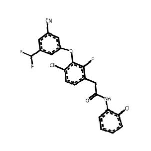 N#Cc1cc(Oc2c(Cl)ccc(CC(=O)Nc3ccccc3Cl)c2F)cc(C(F)F)c1